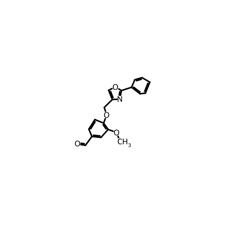 COc1cc(C=O)ccc1OCc1coc(-c2ccccc2)n1